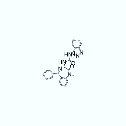 CN1C(=O)C(NC(=O)Nn2nnc3ccccc32)N=C(c2ccccc2)c2ccccc21